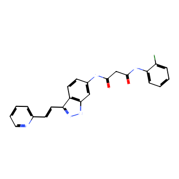 O=C(CC(=O)Nc1ccccc1Cl)Nc1ccc2c(C=Cc3ccccn3)n[nH]c2c1